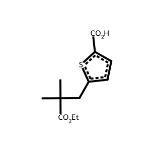 CCOC(=O)C(C)(C)Cc1ccc(C(=O)O)s1